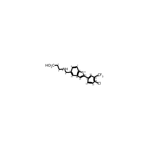 O=C(O)CCNCc1ccc2sc(-c3ccc(Cl)c(C(F)(F)F)c3)cc2c1